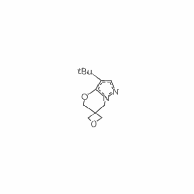 CC(C)(C)c1cnn2c1OCC1(COC1)C2